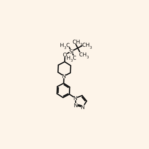 CC(C)(C)[Si](C)(C)OC1CCN(c2cccc(-n3ccnn3)c2)CC1